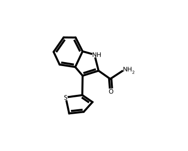 NC(=O)c1[nH]c2ccccc2c1-c1cccs1